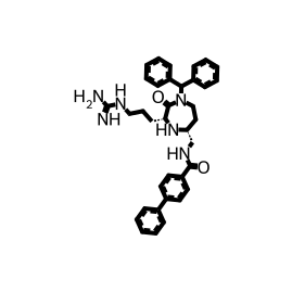 N=C(N)NCCC[C@H]1N[C@@H](CNC(=O)c2ccc(-c3ccccc3)cc2)CCN(C(c2ccccc2)c2ccccc2)C1=O